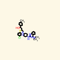 Cc1ccc(C(O)CC(CN[C@H]2CC[C@@H](Nc3nc(N(C)C)c4ccccc4n3)CC2)Sc2ccc(Cl)cc2)cc1